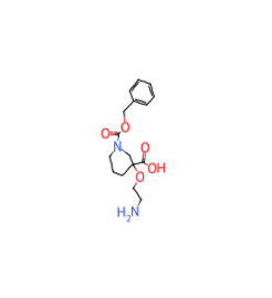 NCCOC1(C(=O)O)CCCN(C(=O)OCc2ccccc2)C1